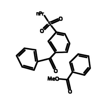 CCCS(=O)(=O)c1cccc(C(=O)c2ccccc2)c1.COC(=O)c1ccccc1